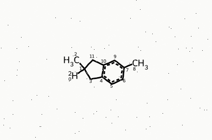 [2H]C1(C)Cc2ccc(C)cc2C1